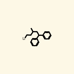 [Li][CH2]CC(C)CC(c1ccccc1)c1ccccc1